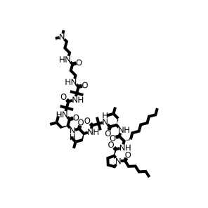 CCCCCCCC[C@H](NC(=O)[C@@H]1CCCN1C(=O)CCCCC)C(=O)N[C@@H](CC(C)C)C(=O)NC(C)(C)C(=O)N[C@@H](CC(C)C)C(=O)N[C@@H](CC(C)C)C(=O)NC(C)(C)C(=O)NC(C)(C)C(=O)NCCC(=O)NCCCN(C)C